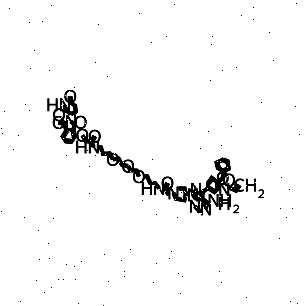 C=CC(=O)Nc1cc(-c2nn(C3CCN(CC(=O)NCCCOCCOCCOCCCNC(=O)COc4cccc5c4C(=O)N(C4CCC(=O)NC4=O)C5=O)CC3)c3ncnc(N)c23)ccc1Oc1ccccc1